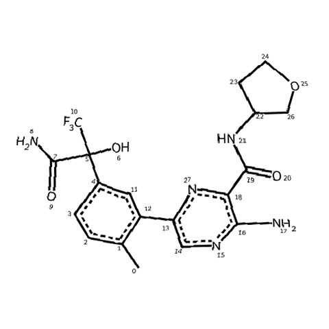 Cc1ccc(C(O)(C(N)=O)C(F)(F)F)cc1-c1cnc(N)c(C(=O)NC2CCOC2)n1